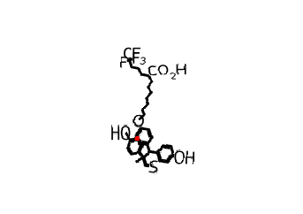 CC1(c2ccc(O)cc2)CSc2cc(O)ccc2C1c1ccc(OCCCCCCCC(CCCC(F)(F)C(F)(F)F)C(=O)O)cc1